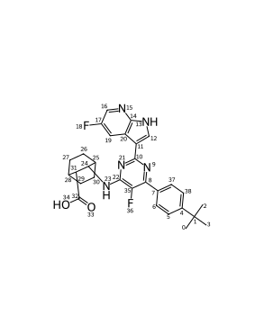 CC(C)(C)c1ccc(-c2nc(-c3c[nH]c4ncc(F)cc34)nc(NC3C4CCC(CC4)C3C(=O)O)c2F)cc1